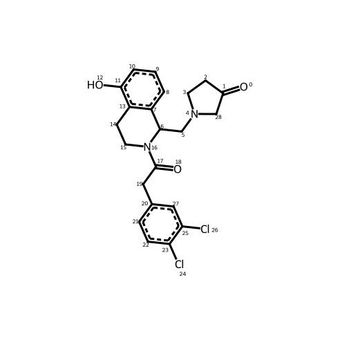 O=C1CCN(CC2c3cccc(O)c3CCN2C(=O)Cc2ccc(Cl)c(Cl)c2)C1